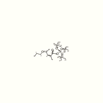 CCCOC(C)C=C(C)C(=O)O[Si](O[Si](C)(C)C)(O[Si](C)(C)C)O[Si](C)(C)C